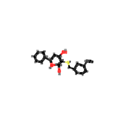 COc1cccc(CSc2c(O)cc(-c3ccccc3)oc2=O)c1